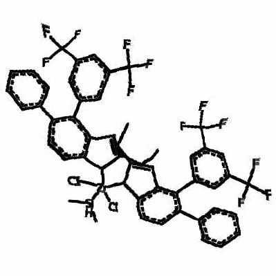 CCC1=Cc2c(ccc(-c3ccccc3)c2-c2cc(C(F)(F)F)cc(C(F)(F)F)c2)[CH]1[Zr]([Cl])([Cl])([CH]1C(CC)=Cc2c1ccc(-c1ccccc1)c2-c1cc(C(F)(F)F)cc(C(F)(F)F)c1)[SiH](C)C